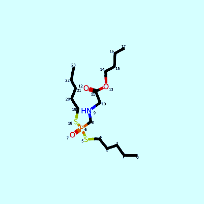 CCCCCSP(=O)(CNCC(=O)OCCCC)SCCCCC